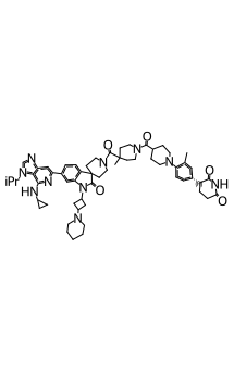 Cc1cc([C@H]2CCC(=O)NC2=O)ccc1N1CCC(C(=O)N2CCC(C)(C(=O)N3CCC4(CC3)C(=O)N(C3CC(N5CCCCC5)C3)c3cc(-c5cc6ncn(C(C)C)c6c(NC6CC6)n5)ccc34)CC2)CC1